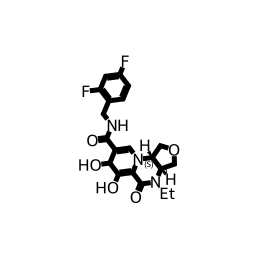 CCN1C(=O)C2=C(O)C(O)C(C(=O)NCc3ccc(F)cc3F)=CN2[C@@H]2COC[C@@H]21